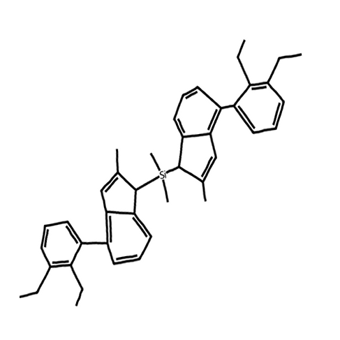 CCc1cccc(-c2cccc3c2C=C(C)C3[Si](C)(C)C2C(C)=Cc3c(-c4cccc(CC)c4CC)cccc32)c1CC